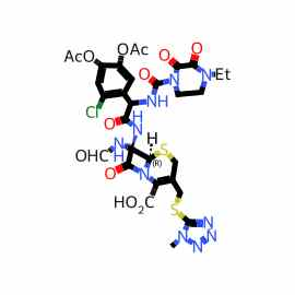 CCN1CCN(C(=O)NC(C(=O)N[C@]2(NC=O)C(=O)N3C(C(=O)O)=C(CSc4nnnn4C)CS[C@@H]32)c2cc(OC(C)=O)c(OC(C)=O)cc2Cl)C(=O)C1=O